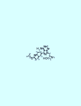 CN1CC(O)C1Cn1nc(-c2ccc3nc(OC4CC4)ccc3c2)c2c(N)ncnc21